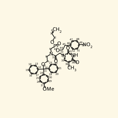 C=CCOP(=O)(CN(CCOC(c1ccccc1)(c1ccccc1)c1ccc(OC)cc1)C(=O)Cn1cc(C)c(=O)[nH]c1=O)OCCc1ccc([N+](=O)[O-])cc1